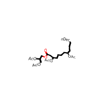 CCCCCCCCCCCCCC(CCCCC(CC(=O)OCC(COC(C)=O)OC(C)=O)OC(C)=O)OC(C)=O